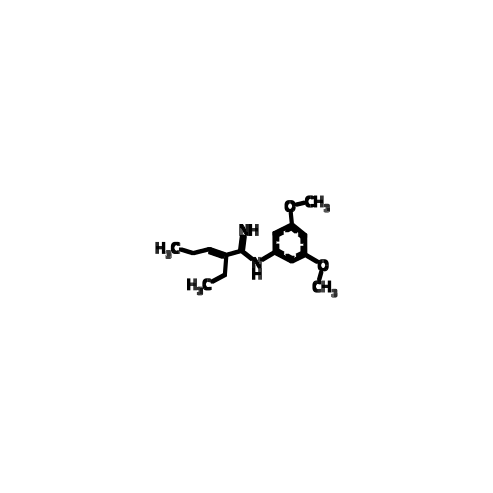 CC/C=C(\CC)C(=N)Nc1cc(OC)cc(OC)c1